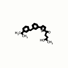 CC(O)CCC(=O)c1ccc(-c2cccc(Cc3cccc(C(C)C)c3)c2)s1